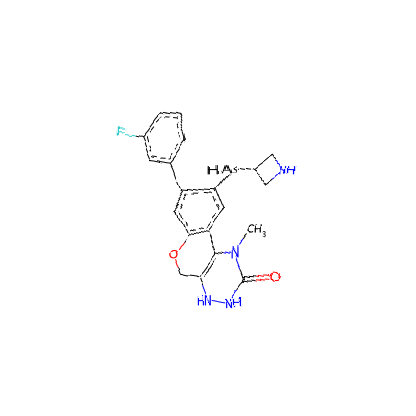 CN1C(=O)NNC2=C1c1cc([AsH]C3CNC3)c(-c3cccc(F)c3)cc1OC2